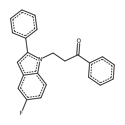 O=C(CCn1c(-c2ccccc2)cc2cc(F)ccc21)c1ccccc1